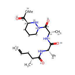 C=CC[C@@H](C)C(=O)N[C@H](C(=O)N[C@@H](C)C(=O)N1CCC[C@@H](C(=O)OC)N1)C(C)C